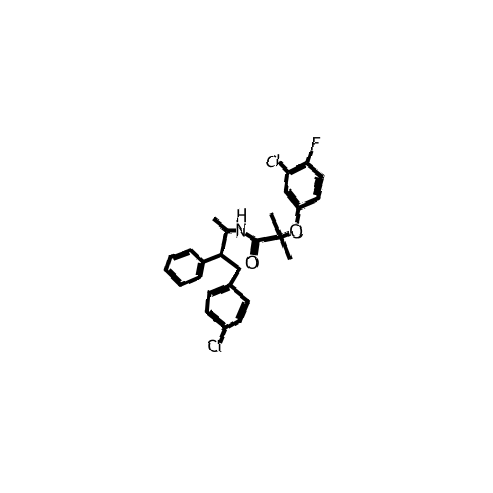 CC(NC(=O)C(C)(C)Oc1ccc(F)c(Cl)c1)C(Cc1ccc(Cl)cc1)c1ccccc1